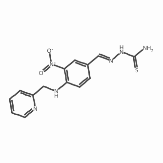 NC(=S)NN=Cc1ccc(NCc2ccccn2)c([N+](=O)[O-])c1